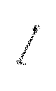 CC(C)(C)OC(=O)NCCOCCOCCOCCOCCOCCOCCOCCOCCOc1ccc(N)cn1